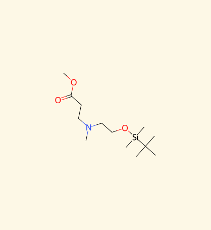 COC(=O)CCN(C)CCO[Si](C)(C)C(C)(C)C